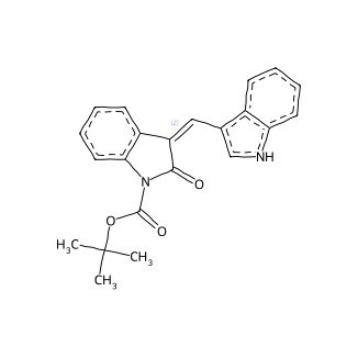 CC(C)(C)OC(=O)N1C(=O)/C(=C\c2c[nH]c3ccccc23)c2ccccc21